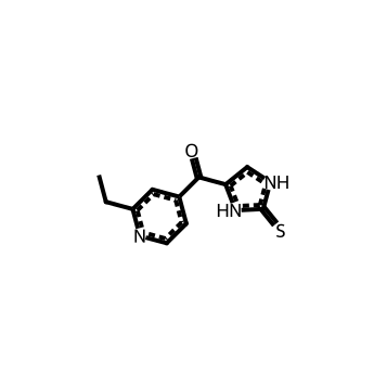 CCc1cc(C(=O)c2c[nH]c(=S)[nH]2)ccn1